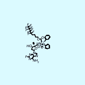 C#C[C@]1(CO[P@@](=O)(N[C@@H](Cc2ccccc2)C(=O)OCCCCC(F)(F)C(F)(F)C(F)(F)C(F)(F)F)Oc2ccccc2)O[C@@H](n2cnc3c(N)nc(F)nc32)C[C@@H]1O